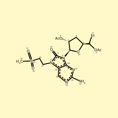 CCC(OC(C)=O)[C@@H]1C[C@@H](OC(C)=O)[C@H](n2c(=O)n(CCS(C)(=O)=O)c3cnc(N)nc32)O1